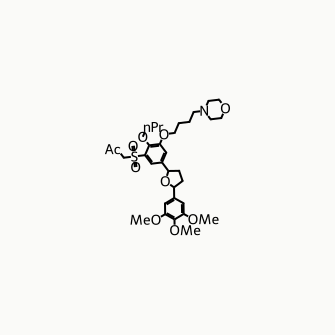 CCCOc1c(OCCCCN2CCOCC2)cc(C2CCC(c3cc(OC)c(OC)c(OC)c3)O2)cc1S(=O)(=O)CC(C)=O